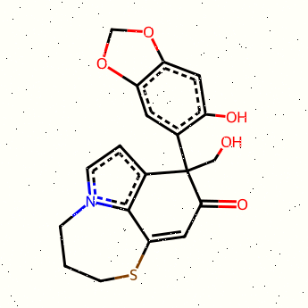 O=C1C=C2SCCCn3ccc(c32)C1(CO)c1cc2c(cc1O)OCO2